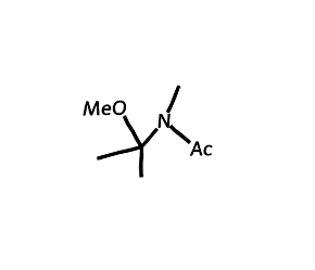 COC(C)(C)N(C)C(C)=O